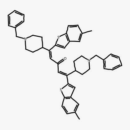 Cc1ccc2sc(C(=CC(=O)C=C(c3cc4cc(C)ccc4s3)C3CCN(Cc4ccccc4)CC3)C3CCN(Cc4ccccc4)CC3)cc2c1